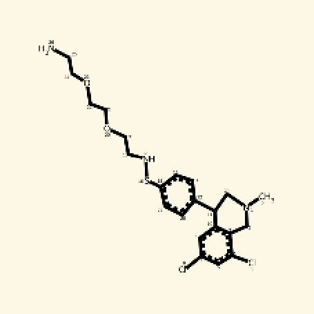 CN1Cc2c(Cl)cc(Cl)cc2C(c2ccc(SNCCOCCOCCN)cc2)C1